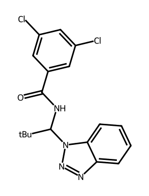 CC(C)(C)C(NC(=O)c1cc(Cl)cc(Cl)c1)n1nnc2ccccc21